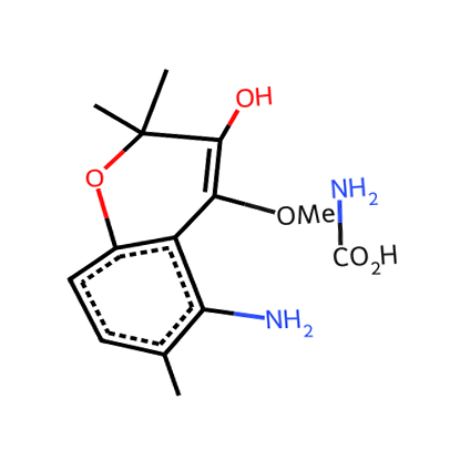 COC1=C(O)C(C)(C)Oc2ccc(C)c(N)c21.NC(=O)O